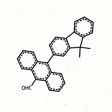 CC1(C)c2ccccc2-c2ccc(-c3c4ccccc4c(C=O)c4ccccc34)cc21